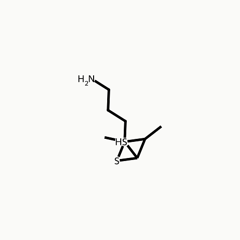 CC1C2S[SH]12(C)CCCN